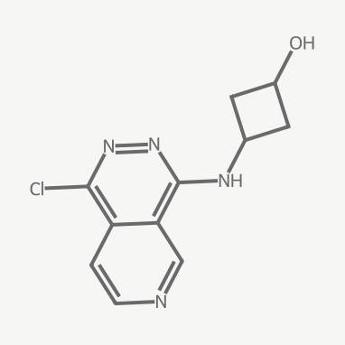 OC1CC(Nc2nnc(Cl)c3ccncc23)C1